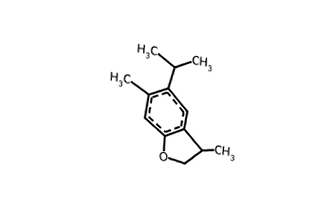 Cc1cc2c(cc1C(C)C)C(C)CO2